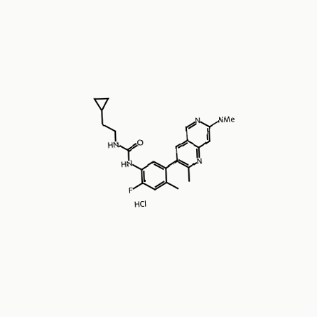 CNc1cc2nc(C)c(-c3cc(NC(=O)NCCC4CC4)c(F)cc3C)cc2cn1.Cl